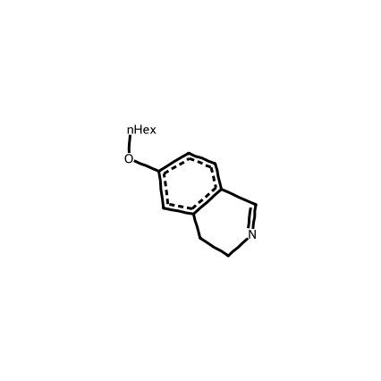 CCCCCCOc1ccc2c(c1)CCN=C2